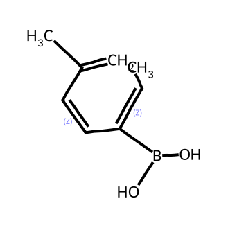 C=C(C)/C=C\C(=C/C)B(O)O